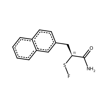 NC(=O)[C@H](Cc1ccc2ccccc2c1)SF